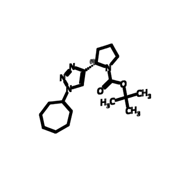 CC(C)(C)OC(=O)N1CCC[C@H]1c1cn(C2CCCCCC2)nn1